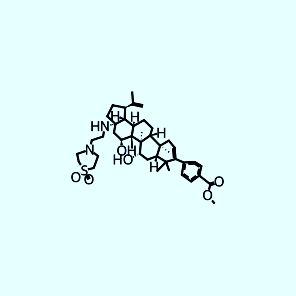 C=C(C)[C@@H]1CC[C@]2(NCCN3CCS(=O)(=O)CC3)C[C@H](O)[C@]3(C)[C@H](CC[C@@H]4[C@@]5(C)CC=C(c6ccc(C(=O)OC)cc6)C(C)(C)[C@@H]5C[C@H](O)[C@]43C)[C@@H]12